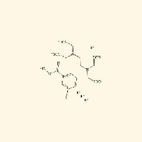 O=C(OO)c1cccc(Cl)c1.O=C([O-])CN(CCN(CC(=O)[O-])CC(=O)[O-])CC(=O)[O-].[K+].[K+].[K+].[K+]